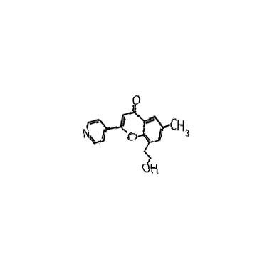 Cc1cc(CCO)c2oc(-c3ccncc3)cc(=O)c2c1